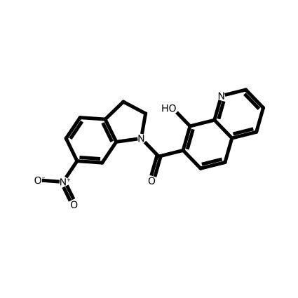 O=C(c1ccc2cccnc2c1O)N1CCc2ccc([N+](=O)[O-])cc21